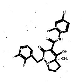 C[C@]12CCCN1N(Cc1cccc(F)c1F)C(=O)C(C(=O)Nc1ccc(Cl)cc1F)=C2O